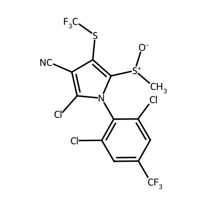 C[S+]([O-])c1c(SC(F)(F)F)c(C#N)c(Cl)n1-c1c(Cl)cc(C(F)(F)F)cc1Cl